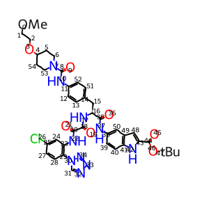 COCCOC1CCN(C(=O)Nc2ccc(C[C@H](NC(=O)C(=O)Nc3cc(Cl)ccc3-n3cnnn3)C(=O)Nc3ccc4[nH]c(C(=O)OC(C)(C)C)cc4c3)cc2)CC1